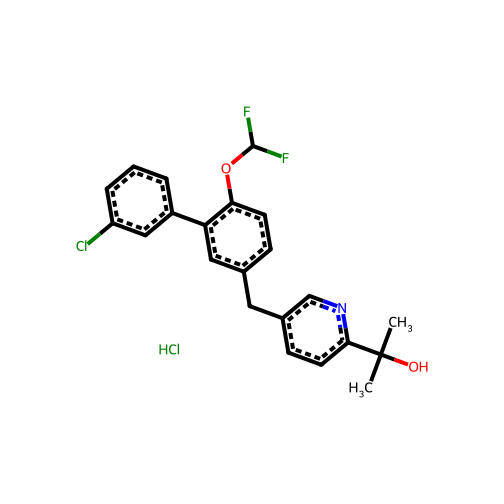 CC(C)(O)c1ccc(Cc2ccc(OC(F)F)c(-c3cccc(Cl)c3)c2)cn1.Cl